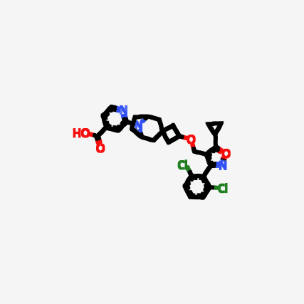 O=C(O)c1ccnc(N2C3CCC2CC2(CC(OCc4c(-c5c(Cl)cccc5Cl)noc4C4CC4)C2)C3)c1